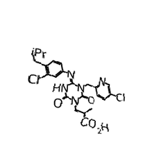 CC(C)Cc1ccc(/N=c2\[nH]c(=O)n(CC(C)C(=O)O)c(=O)n2Cc2ccc(Cl)cn2)cc1Cl